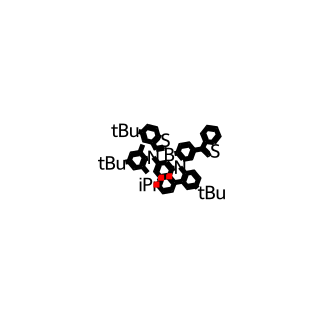 Cc1cc(C(C)(C)C)cc(C)c1N1c2cc(C(C)C)cc3c2B(c2ccc(-c4csc5ccccc45)cc2N3c2ccc(C(C)(C)C)cc2-c2ccccc2)c2sc3ccc(C(C)(C)C)cc3c21